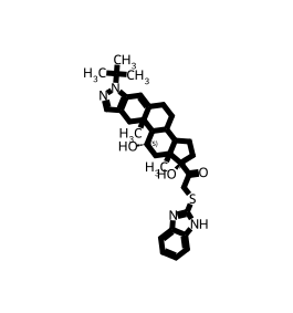 CC12Cc3cnn(C(C)(C)C)c3C=C1CCC1C2[C@@H](O)CC2(C)C1CC[C@]2(O)C(=O)CSc1nc2ccccc2[nH]1